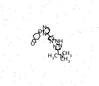 CC(c1cnc(Nc2ncc(-c3ccnc(OC4CCC5(CC4)COC5)n3)s2)nc1)N(C)C